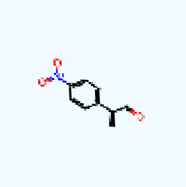 C=C([C]=O)c1ccc([N+](=O)[O-])cc1